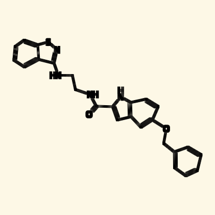 O=C(NCCNc1nsc2ccccc12)c1cc2cc(OCc3ccccc3)ccc2[nH]1